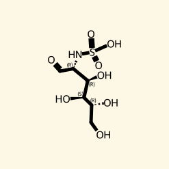 O=C[C@H](NS(=O)(=O)O)[C@@H](O)[C@H](O)[C@H](O)CO